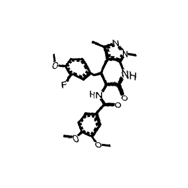 COc1ccc(C2c3c(C)nn(C)c3NC(=O)C2NC(=O)c2ccc(OC)c(OC)c2)cc1F